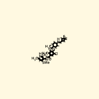 CSc1cc(C)[nH]c(=O)c1CNC(=O)c1cc(Cl)c2c(c1C)OC(C)(C1CCC(NCC3CC(F)(F)C3)CC1)O2